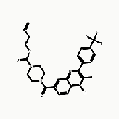 C=CCCOC(=O)N1CCN(C(=O)c2ccc3c(Cl)c(C)c(-c4ccc(C(F)(F)F)cc4)nc3c2)CC1